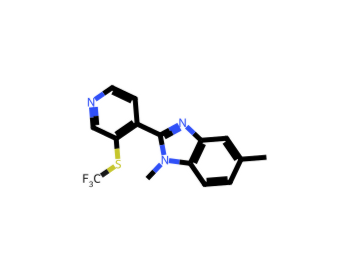 Cc1ccc2c(c1)nc(-c1ccncc1SC(F)(F)F)n2C